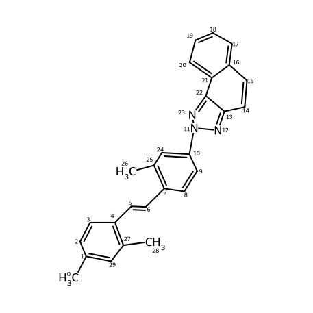 Cc1ccc(C=Cc2ccc(-n3nc4ccc5ccccc5c4n3)cc2C)c(C)c1